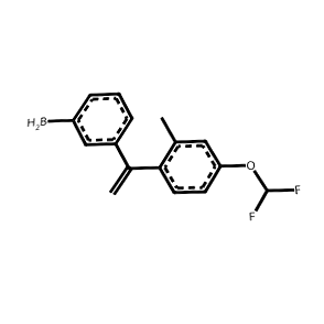 Bc1cccc(C(=C)c2ccc(OC(F)F)cc2C)c1